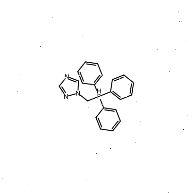 c1ccc([PH](Cn2cncn2)(c2ccccc2)c2ccccc2)cc1